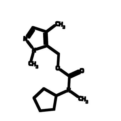 Cc1cnn(C)c1COC(=O)N(C)C1CCCC1